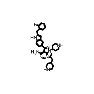 CC(CC1CCNCC1)C[N@+]1(C2CCNCC2)N=C(c2ccc3[nH]c(Cc4ccccc4F)cc3c2)c2c(N)ncnc21